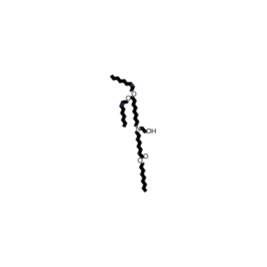 CCCCCC/C=C\COC(CCCCCCCCN(CCO)CCCCCCCC(=O)OCCCCCCCCC)OC/C=C\CCCCCC